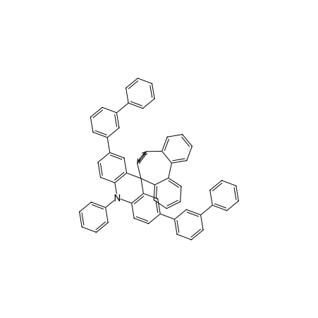 c1ccc(-c2cccc(-c3ccc4c(c3)C3(c5ccccc5-c5ccccc5-c5ccccc53)c3cc(-c5cccc(-c6ccccc6)c5)ccc3N4c3ccccc3)c2)cc1